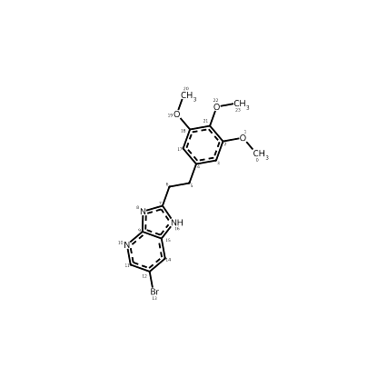 COc1cc(CCc2nc3ncc(Br)cc3[nH]2)cc(OC)c1OC